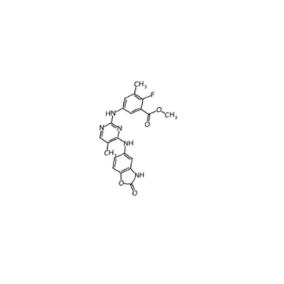 COC(=O)c1cc(Nc2ncc(C)c(Nc3ccc4oc(=O)[nH]c4c3)n2)cc(C)c1F